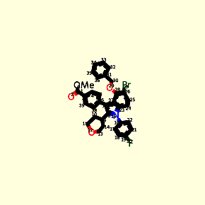 COC(=O)c1ccc(-c2c(C3CCOCC3)n(-c3ccc(F)cc3)c3ccc(Br)c(OCc4ccccc4)c23)cc1